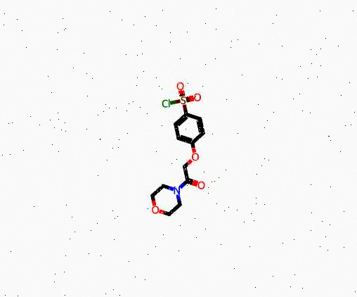 O=C(COc1ccc(S(=O)(=O)Cl)cc1)N1CCOCC1